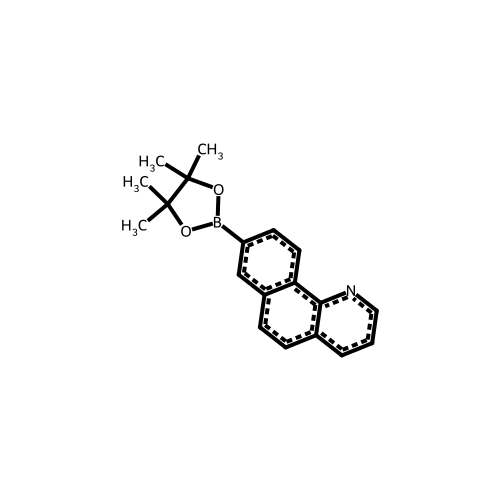 CC1(C)OB(c2ccc3c(ccc4cccnc43)c2)OC1(C)C